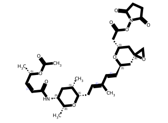 CC(=O)O[C@@H](C)/C=C\C(=O)N[C@@H]1C[C@H](C)[C@H](C/C=C(C)/C=C/[C@@H]2C[C@@]3(CO3)C[C@@H](CC(=O)ON3C(=O)CCC3=O)O2)O[C@@H]1C